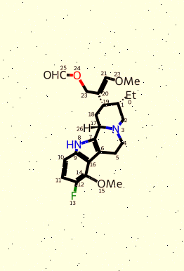 CC[C@@H]1CN2CCc3c([nH]c4ccc(F)c(OC)c34)[C@@H]2C[C@@H]1/C(=C\OC)COC=O